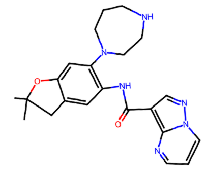 CC1(C)Cc2cc(NC(=O)c3cnn4cccnc34)c(N3CCCNCC3)cc2O1